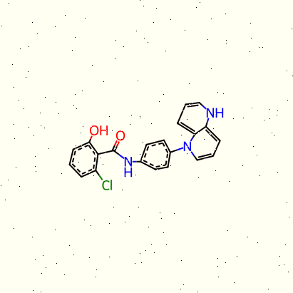 O=C(Nc1ccc(N2C=CC=C3NC=CC=C32)cc1)c1c(O)cccc1Cl